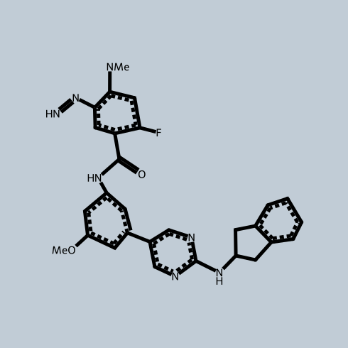 CNc1cc(F)c(C(=O)Nc2cc(OC)cc(-c3cnc(NC4Cc5ccccc5C4)nc3)c2)cc1N=N